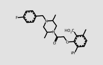 Cc1ccc(C(C)C)c(OCC(=O)N2CC(C)N(Cc3ccc(F)cc3)CC2C)c1C(=O)O